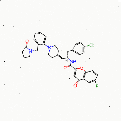 O=C(N[C@@H](C=C1CCN(c2ccccc2CN2CCCC2=O)CC1)Cc1ccc(Cl)cc1)c1cc(=O)c2cc(F)ccc2o1